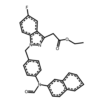 CCOC(=O)Cc1nn(Cc2ccc(N(C=O)c3ccc4ccccc4c3)cc2)c2ccc(F)cc12